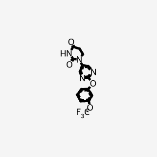 O=C1CCN(c2cnc(Oc3cccc(OC(F)(F)F)c3)nc2)C(=O)N1